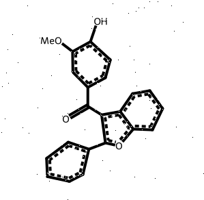 COc1cc(C(=O)c2c(-c3ccccc3)oc3ccccc23)ccc1O